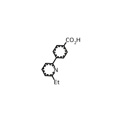 CCc1cccc(-c2ccc(C(=O)O)cc2)n1